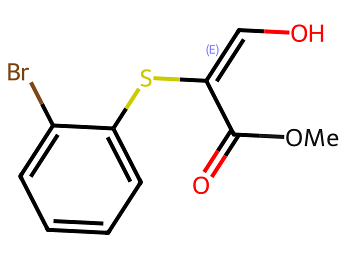 COC(=O)/C(=C\O)Sc1ccccc1Br